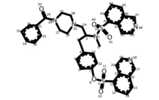 CN(C(Cc1ccc(OS(=O)(=O)c2cccc3cnccc23)cc1)CN1CCN(C(=O)c2ccccc2)CC1)S(=O)(=O)c1cccc2cnccc12